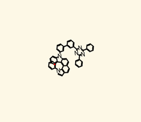 c1ccc(-c2nc(-c3ccccc3)nc(-c3cccc(-c4cccc(-n5c6ccccc6c6c7c(ccc8ccn(-c9ccccc9)c87)ccc65)c4)c3)n2)cc1